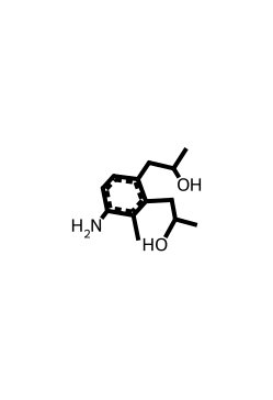 Cc1c(N)ccc(CC(C)O)c1CC(C)O